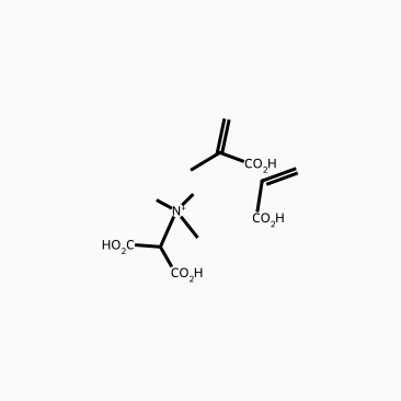 C=C(C)C(=O)O.C=CC(=O)O.C[N+](C)(C)C(C(=O)O)C(=O)O